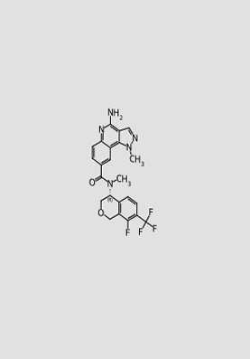 CN(C(=O)c1ccc2nc(N)c3cnn(C)c3c2c1)[C@H]1COCc2c1ccc(C(F)(F)F)c2F